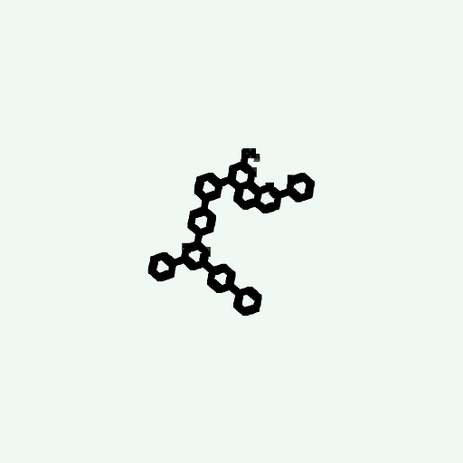 Cc1cc(-c2cccc(C3=CCC(c4nc(-c5ccccc5)cc(-c5ccc(-c6ccccc6)cc5)n4)C=C3)c2)c2ccc3ccc(-c4ccccn4)nc3c2n1